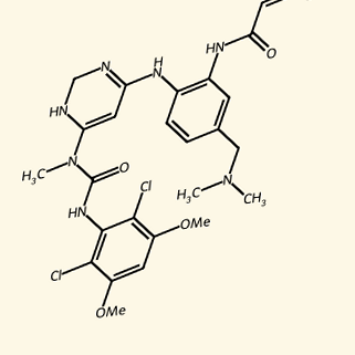 C=CC(=O)Nc1cc(CN(C)C)ccc1NC1=NCNC(N(C)C(=O)Nc2c(Cl)c(OC)cc(OC)c2Cl)=C1